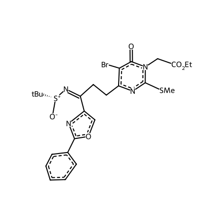 CCOC(=O)Cn1c(SC)nc(CC/C(=N/[S@+]([O-])C(C)(C)C)c2coc(-c3ccccc3)n2)c(Br)c1=O